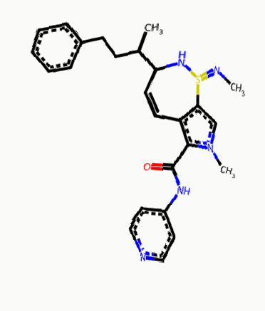 C/N=S1/NC(C(C)CCc2ccccc2)C=Cc2c1cn(C)c2C(=O)Nc1ccncc1